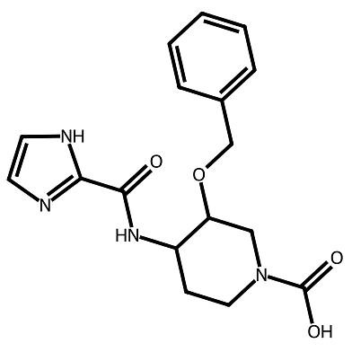 O=C(NC1CCN(C(=O)O)CC1OCc1ccccc1)c1ncc[nH]1